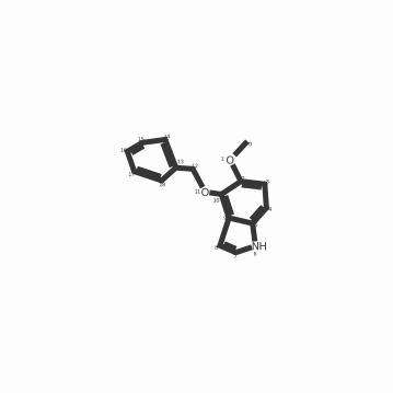 COc1ccc2[nH]ccc2c1OCc1ccccc1